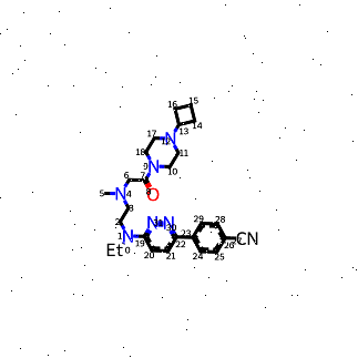 CCN(CCN(C)CC(=O)N1CCN(C2CCC2)CC1)c1ccc(-c2ccc(C#N)cc2)nn1